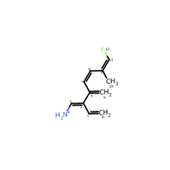 C=C/C(=C\N)C(=C)/C=C\C(C)=C/F